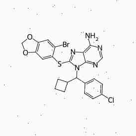 Nc1ncnc2c1nc(Sc1cc3c(cc1Br)OCO3)n2C(c1ccc(Cl)cc1)C1CCC1